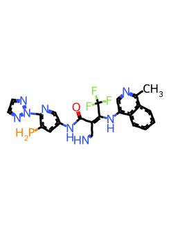 Cc1ncc(N/C(=C(\C=N)C(=O)Nc2cnc(-n3nccn3)c(P)c2)C(F)(F)F)c2ccccc12